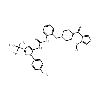 COc1cscc1C(=O)N1CCC(Cc2ccccc2NC(=O)Nc2cc(C(C)(C)C)nn2-c2ccc(C)cc2)CC1